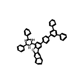 c1ccc(C2=NC(c3ccccc3)NC(c3cc(-c4ccc(-c5cc(-c6ccccc6)cc(-c6ccccc6)c5)cc4)cc4c3oc3cc5ccccc5cc34)N2)cc1